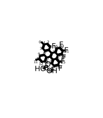 Cc1ccc(-c2c(-c3ccc(C)cc3)c3c(OB(O)O)c(F)c(F)c(F)c3c3c(F)c(F)c(F)c(F)c23)cc1